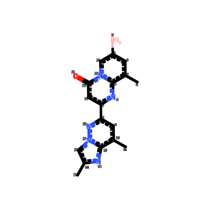 Bc1cc(C)c2nc(-c3cc(C)c4nc(C)cn4n3)cc(=O)n2c1